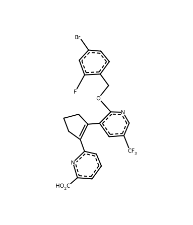 O=C(O)c1cccc(C2=C(c3cc(C(F)(F)F)cnc3OCc3ccc(Br)cc3F)CCC2)n1